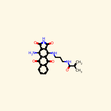 C=C(C)C(=O)NCCCNc1c2c(=O)[nH]c(=O)c2c(N)c2c(=O)c3ccccc3c(=O)c12